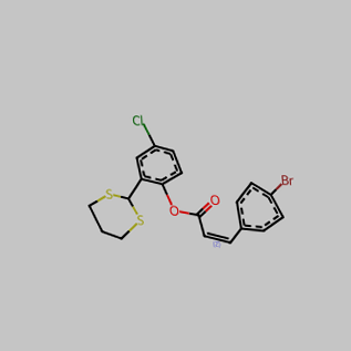 O=C(/C=C\c1ccc(Br)cc1)Oc1ccc(Cl)cc1C1SCCCS1